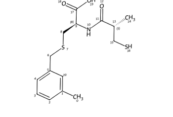 Cc1cccc(CSC[C@H](NC(=O)[C@H](C)CS)C(=O)O)c1